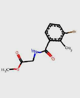 COC(=O)CNC(=O)c1cccc(Br)c1C